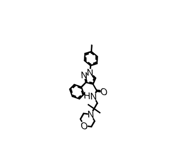 Cc1ccc(-n2cc(C(=O)NCC(C)(C)N3CCOCC3)c(-c3ccccc3)n2)cc1